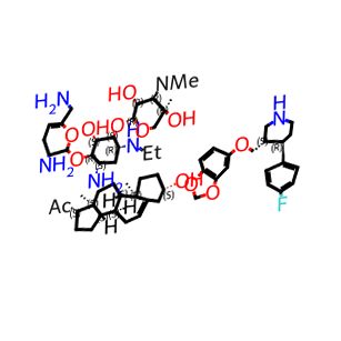 CC(=O)[C@H]1CC[C@H]2[C@@H]3CC=C4C[C@@H](O)CC[C@]4(C)[C@H]3CC[C@]12C.CCN[C@@H]1C[C@H](N)[C@@H](OC2OC(CN)=CCC2N)[C@H](O)[C@H]1O[C@H]1OC[C@](C)(O)[C@H](NC)[C@H]1O.Fc1ccc([C@@H]2CCNC[C@H]2COc2ccc3c(c2)OCO3)cc1